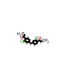 C=CC(=O)c1ccc(Cc2ccc(C(=O)C=C)c(Cl)c2)cc1Cl